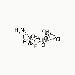 CCS(=O)(=O)c1ccc(Cl)cc1CNC(=O)c1ccc(C(C)(C)N2CCCC(CN)C2)c(C(F)(F)F)c1